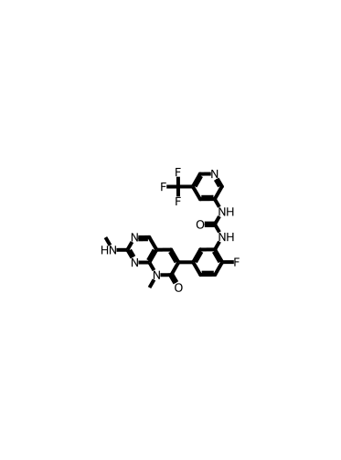 CNc1ncc2cc(-c3ccc(F)c(NC(=O)Nc4cncc(C(F)(F)F)c4)c3)c(=O)n(C)c2n1